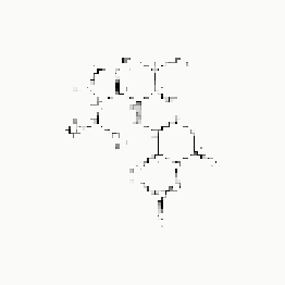 CC(C)c1cc2[nH]c(=O)n(N=S(=O)=O)c(=O)c2cc1-c1ccnn1C(C)C